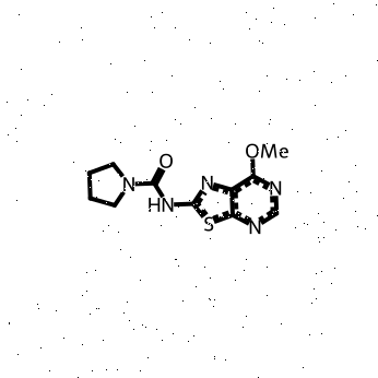 COc1ncnc2sc(NC(=O)N3CCCC3)nc12